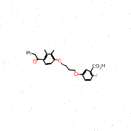 Cc1c(OCCCCOc2ccc(F)c(C(=O)O)c2)ccc(C(=O)CC(C)C)c1C